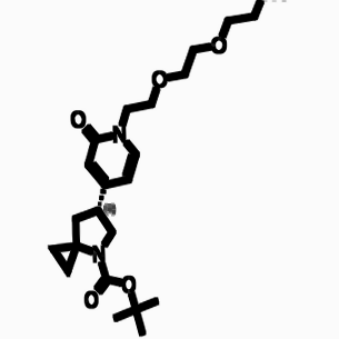 CC(C)(C)OC(=O)N1C[C@@H](c2ccn(CCOCCOCCO)c(=O)c2)CC12CC2